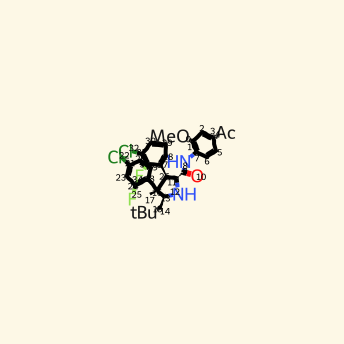 COc1cc(C(C)=O)ccc1NC(=O)[C@@H]1N[C@@H](CC(C)(C)C)[C@](C)(c2ccc(Cl)cc2F)[C@H]1c1cccc(Cl)c1F